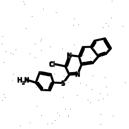 Nc1ccc(Sc2nc3cc4ccccc4cc3nc2Cl)cc1